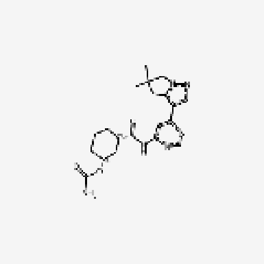 CC1(C)Cc2c(-c3cc(NC(=O)[C@H]4CCC[C@@H](OC(N)=O)C4)ncn3)cnn2C1